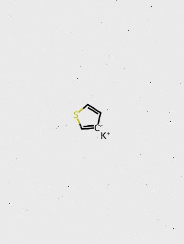 [K+].[c-]1ccsc1